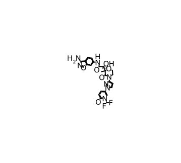 CC1([C@@H](O)C(=O)Nc2ccc3c(N)noc3c2)OCCN(c2ccn(-c3ccc(=O)n(C(F)F)c3)n2)C1=O